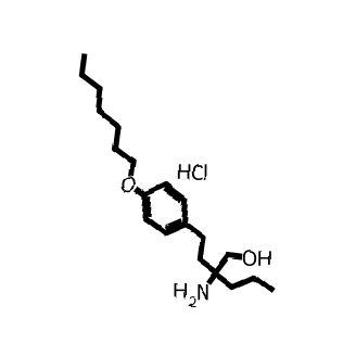 CCCCCCCOc1ccc(CCC(N)(CO)CCC)cc1.Cl